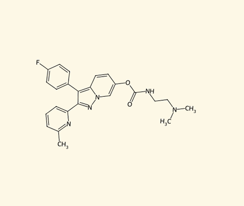 Cc1cccc(-c2nn3cc(OC(=O)NCCN(C)C)ccc3c2-c2ccc(F)cc2)n1